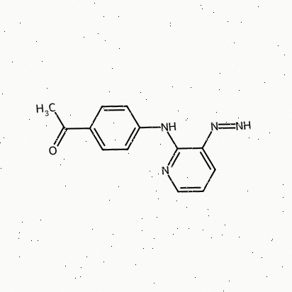 CC(=O)c1ccc(Nc2ncccc2N=N)cc1